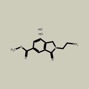 COC(=O)c1ccc2c(c1)C(=O)N(CCN)C2.Cl.Cl